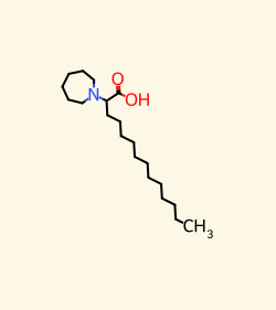 CCCCCCCCCCCCC(C(=O)O)N1CCCCCC1